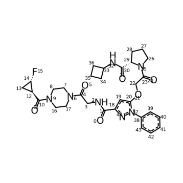 O=C(NCC(=O)N1CCN(C(=O)[C@H]2C[C@@H]2F)CC1)c1cc(OCC(=O)N2CCC[C@H]2C(=O)NC2CCC2)n(-c2ccccc2)n1